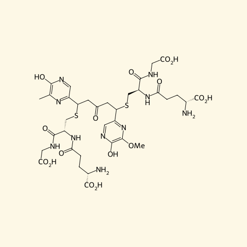 COc1nc(C(CC(=O)CC(SC[C@H](NC(=O)CC[C@H](N)C(=O)O)C(=O)NCC(=O)O)c2cnc(O)c(C)n2)SC[C@H](NC(=O)CC[C@@H](N)C(=O)O)C(=O)NCC(=O)O)cnc1O